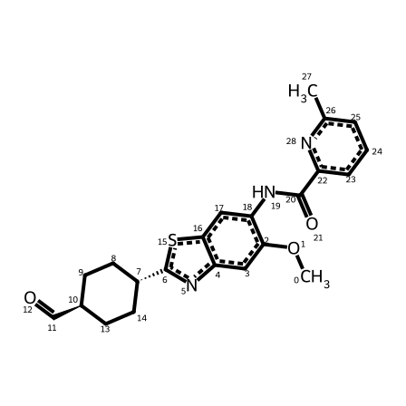 COc1cc2nc([C@H]3CC[C@H](C=O)CC3)sc2cc1NC(=O)c1cccc(C)n1